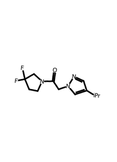 CC(C)c1cnn(CC(=O)N2CCC(F)(F)C2)c1